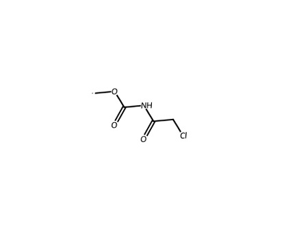 [CH2]OC(=O)NC(=O)CCl